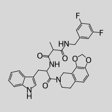 CC(C(=O)NCc1cc(F)cc(F)c1)C(=O)NC(Cc1c[nH]c2ccccc12)C(=O)N1CCc2ccc3c(c2C1)OCO3